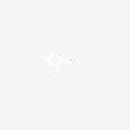 CCc1cnc(OC)c(OC(C)C)c1